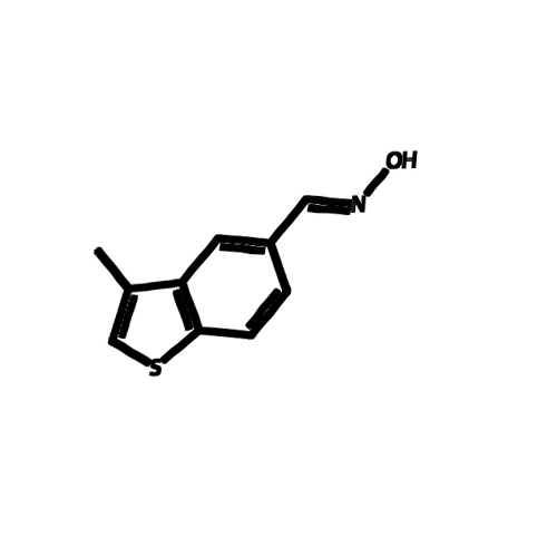 Cc1csc2ccc(C=NO)cc12